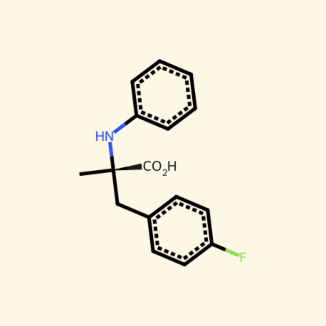 C[C@@](Cc1ccc(F)cc1)(Nc1ccccc1)C(=O)O